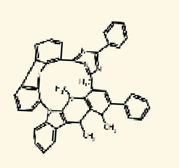 CC1C(c2ccccc2)=CC2(C)C3=C1C(C)c1c(n(c4ccccc14)-c1cccc4c1sc1c(cccc14)-c1nc(-c4ccccc4)nc2n1)N3C